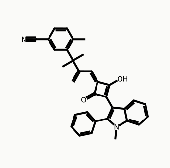 C=C(/C=C1\C(=O)C(c2c(-c3ccccc3)n(C)c3ccccc23)=C1O)C(C)(C)c1cc(C#N)ccc1C